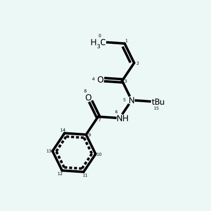 C/C=C\C(=O)N(NC(=O)c1ccccc1)C(C)(C)C